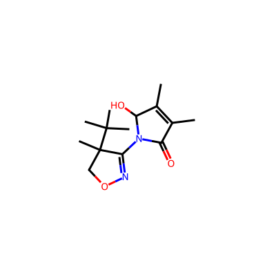 CC1=C(C)C(O)N(C2=NOCC2(C)C(C)(C)C)C1=O